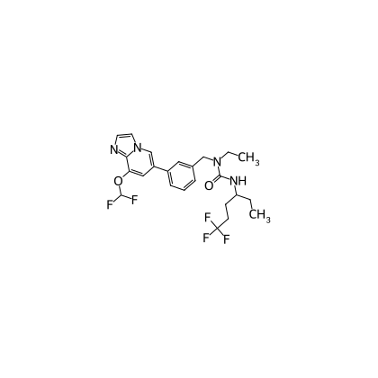 CCC(CCC(F)(F)F)NC(=O)N(CC)Cc1cccc(-c2cc(OC(F)F)c3nccn3c2)c1